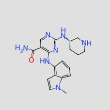 Cn1ccc2c(Nc3nc(N[C@@H]4CCCNC4)ncc3C(N)=O)cccc21